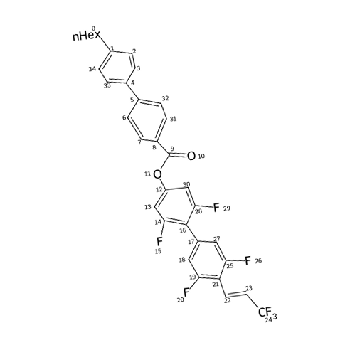 CCCCCCc1ccc(-c2ccc(C(=O)Oc3cc(F)c(-c4cc(F)c(/C=C/C(F)(F)F)c(F)c4)c(F)c3)cc2)cc1